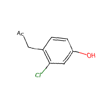 CC(=O)Cc1ccc(O)cc1Cl